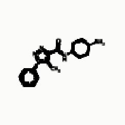 Cc1c(C(=O)N[C@H]2CC[C@H](N)CC2)nnn1-c1ccccc1